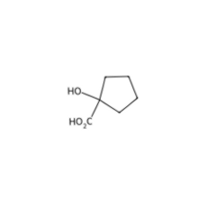 O=C(O)C1(O)CCCC1